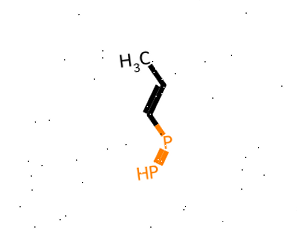 C/C=C/P=P